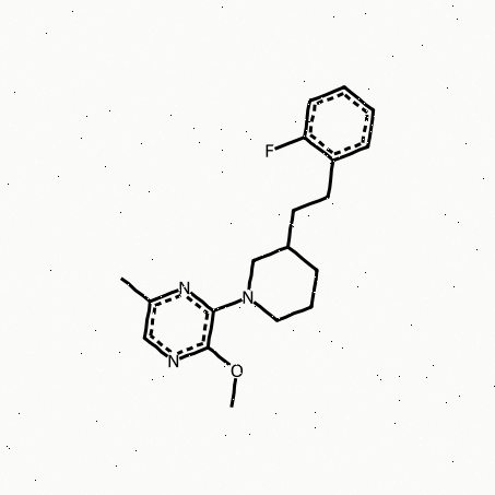 COc1ncc(C)nc1N1CCCC(CCc2ccccc2F)C1